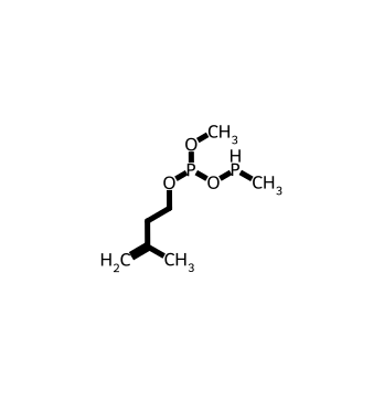 C=C(C)CCOP(OC)OPC